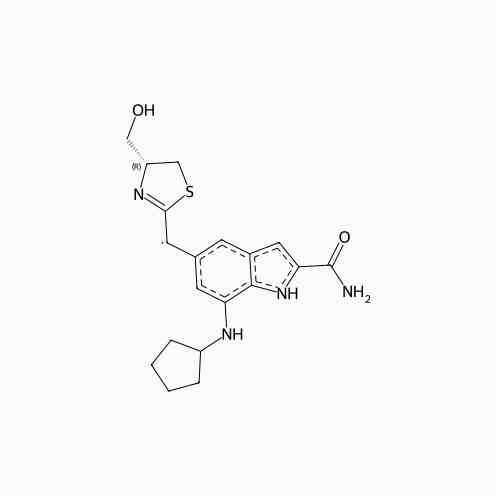 NC(=O)c1cc2cc([CH]C3=N[C@H](CO)CS3)cc(NC3CCCC3)c2[nH]1